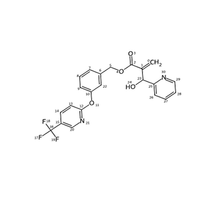 C=C(C(=O)OCc1cccc(Oc2ccc(C(F)(F)F)cn2)c1)C(O)c1ccccn1